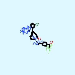 O=C(c1ccc(-c2cnc([C@@H]3CCc4cc(-c5cc(Cl)ccc5-n5cnnn5)cc(=O)n43)[nH]2)cc1)C(F)(F)F